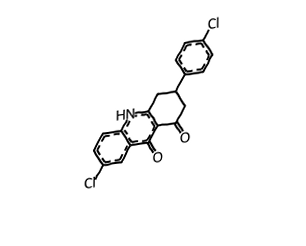 O=C1CC(c2ccc(Cl)cc2)Cc2[nH]c3ccc(Cl)cc3c(=O)c21